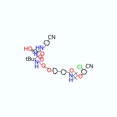 CC(C)(C)C(NC(=O)COCCOc1ccc(-c2ccc(C(=O)N[C@H]3C(C)(C)[C@H](Oc4ccc(C#N)c(Cl)c4)C3(C)C)cc2)cc1)C(=O)N1C[C@H](O)C[C@H]1C(=O)NCc1ccc(C#N)cc1